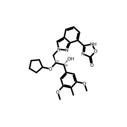 COc1cc([C@@H](O)[C@H](Cn2cc3cccc(-c4nc(=O)o[nH]4)c3n2)OC2CCCC2)cc(OC)c1C